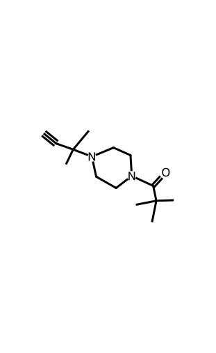 C#CC(C)(C)N1CCN(C(=O)C(C)(C)C)CC1